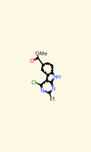 CCc1nc(Cl)c2c(n1)[nH]c1ccc(C(=O)OC)cc12